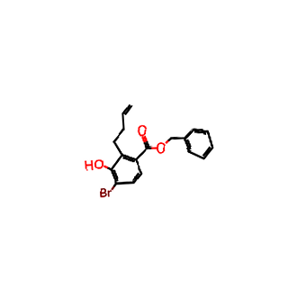 C=CCCc1c(C(=O)OCc2ccccc2)ccc(Br)c1O